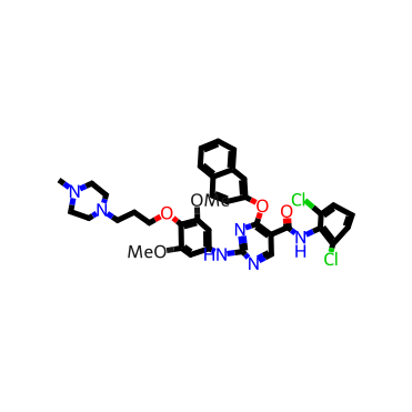 COc1cc(Nc2ncc(C(=O)Nc3c(Cl)cccc3Cl)c(Oc3ccc4ccccc4c3)n2)cc(OC)c1OCCCN1CCN(C)CC1